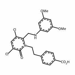 COc1cc(NCc2c(Cl)cc(Cl)c(=O)n2CCc2ccc(C(=O)O)cc2)cc(OC)c1